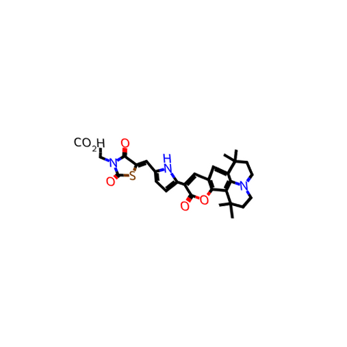 CC1(C)CCN2CCC(C)(C)c3c2c1cc1cc(-c2ccc(/C=C4\SC(=O)N(CC(=O)O)C4=O)[nH]2)c(=O)oc31